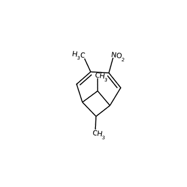 CC1=CC2C(C)C(C=C1[N+](=O)[O-])C2C